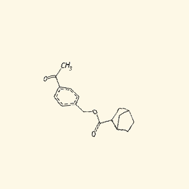 CC(=O)c1ccc(COC(=O)C2CC3CCC2C3)cc1